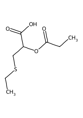 CCSCC(OC(=O)CC)C(=O)O